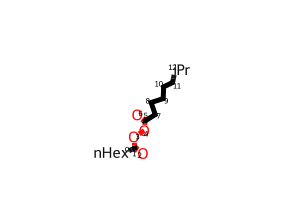 CCCCCCC(=O)OOC(=O)CCCCCC(C)C